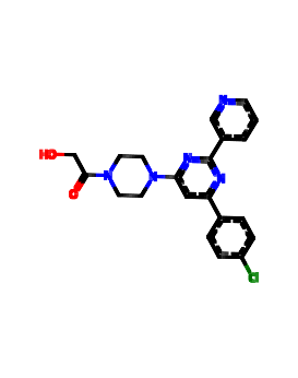 O=C(CO)N1CCN(c2cc(-c3ccc(Cl)cc3)nc(-c3cccnc3)n2)CC1